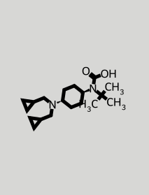 CC(C)(C)N(C(=O)O)[C@H]1CC[C@H](N(CC2CC2)CC2CC2)CC1